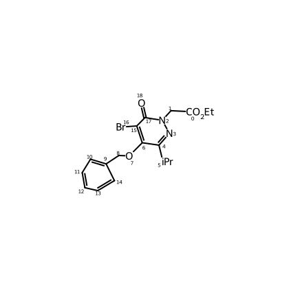 CCOC(=O)Cn1nc(C(C)C)c(OCc2ccccc2)c(Br)c1=O